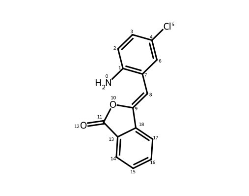 Nc1ccc(Cl)cc1/C=C1\OC(=O)c2ccccc21